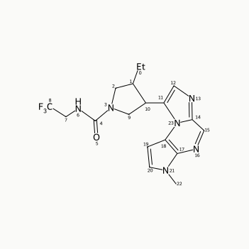 CCC1CN(C(=O)NCC(F)(F)F)CC1c1cnc2cnc3c(ccn3C)n12